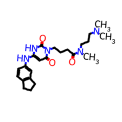 CN(C)CCCN(C)C(=O)CCCn1c(=O)cc(Nc2ccc3c(c2)CCC3)[nH]c1=O